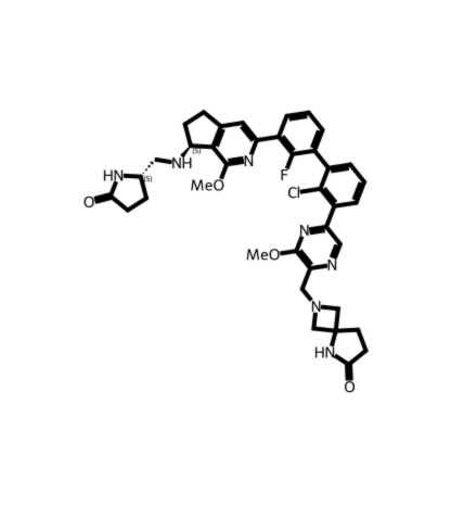 COc1nc(-c2cccc(-c3cccc(-c4cc5c(c(OC)n4)[C@@H](NC[C@@H]4CCC(=O)N4)CC5)c3F)c2Cl)cnc1CN1CC2(CCC(=O)N2)C1